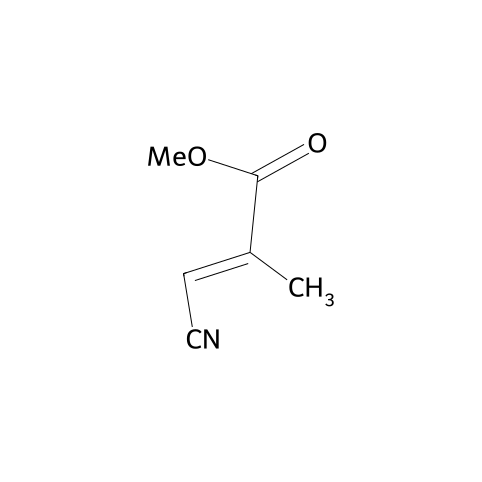 COC(=O)C(C)=CC#N